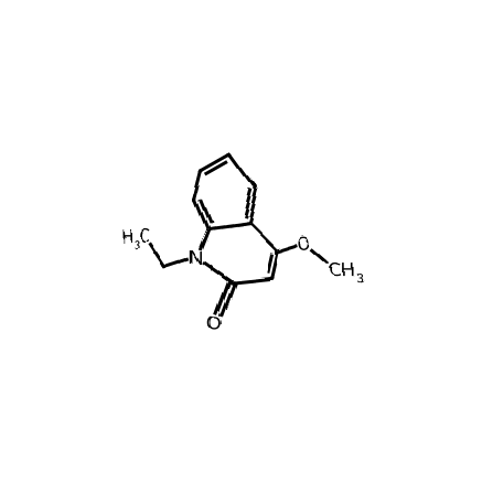 CCn1c(=O)cc(OC)c2ccccc21